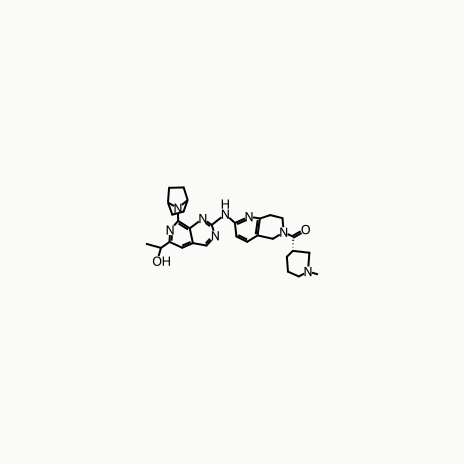 CC(O)c1cc2cnc(Nc3ccc4c(n3)CCN(C(=O)[C@H]3CCCN(C)C3)C4)nc2c(N2C3CCC2CC3)n1